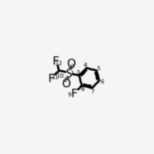 O=S(=O)(c1ccccc1F)C(F)F